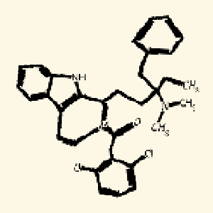 CCC(CCC1c2[nH]c3ccccc3c2CCN1C(=O)c1c(Cl)cccc1Cl)(Cc1ccccc1)N(C)C